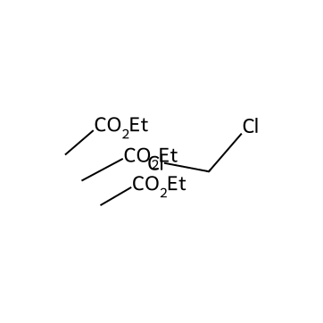 CCOC(C)=O.CCOC(C)=O.CCOC(C)=O.ClCCl